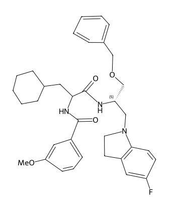 COc1cccc(C(=O)NC(CC2CCCCC2)C(=O)N[C@H](COCc2ccccc2)CN2CCc3cc(F)ccc32)c1